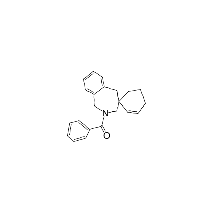 O=C(c1ccccc1)N1Cc2ccccc2CC2(C=CCCC2)C1